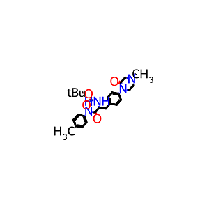 Cc1ccc(NC(=O)C(Cc2ccc(N3CCN(C)CC3=O)cc2)NC(=O)OC(C)(C)C)cc1